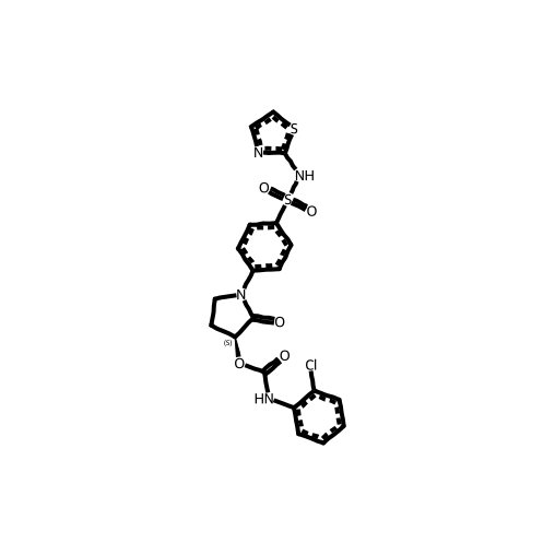 O=C(Nc1ccccc1Cl)O[C@H]1CCN(c2ccc(S(=O)(=O)Nc3nccs3)cc2)C1=O